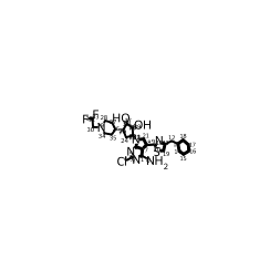 Nc1nc(Cl)nc2c1c(-c1nc(Cc3ccccc3)cs1)cn2[C@@H]1C[C@H](C2CCN(CC(F)F)CC2)[C@@H](O)[C@H]1O